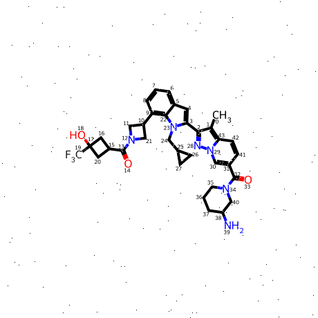 Cc1c(-c2cc3cccc(C4CN(C(=O)C5CC(O)(C(F)(F)F)C5)C4)c3n2CC2CC2)nn2cc(C(=O)N3CCCC(N)C3)ccc12